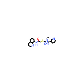 CCn1c(SCC(=O)Nc2cccc3cccnc23)nnc1-c1cccnc1